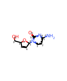 Nc1ccn(C2C=CC(CO)O2)c(=O)n1